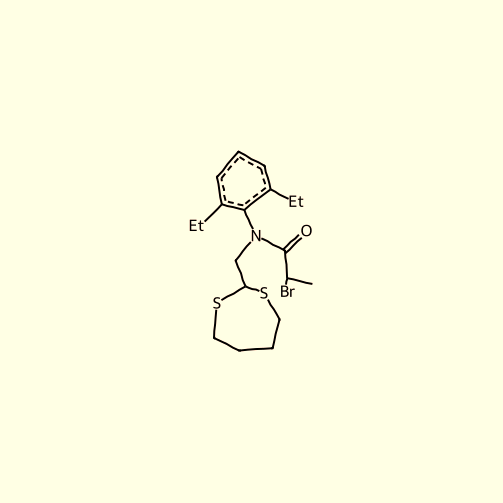 CCc1cccc(CC)c1N(CC1SCCCCS1)C(=O)C(C)Br